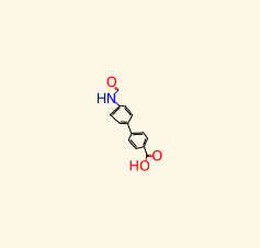 O=CNc1ccc(-c2ccc(C(=O)O)cc2)cc1